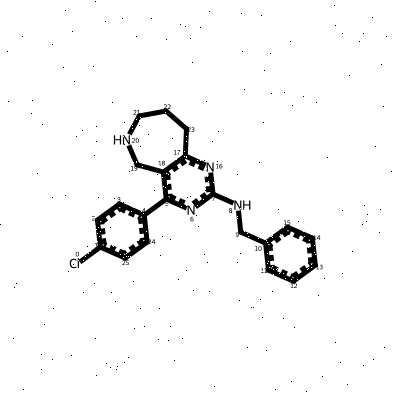 Clc1ccc(-c2nc(NCc3ccccc3)nc3c2CNCCC3)cc1